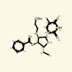 COCCO[C@@H]1[C@H](OC(=O)c2ccccc2)[C@@H](CI)O[C@H]1n1cc(C)c(=O)[nH]c1=O